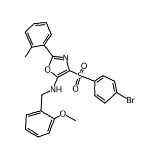 COc1ccccc1CNc1oc(-c2ccccc2C)nc1S(=O)(=O)c1ccc(Br)cc1